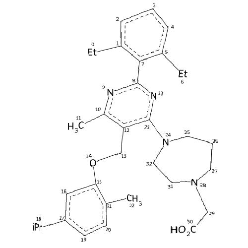 CCc1cccc(CC)c1-c1nc(C)c(COc2cc(C(C)C)ccc2C)c(N2CCCN(CC(=O)O)CC2)n1